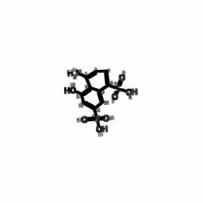 Nc1ccc(S(=O)(=O)O)c2cc(S(=O)(=O)O)[c]c(O)c12